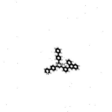 C1=C(c2ccc(-c3cccnc3)cc2)N=C(c2ccc(-c3ccccc3)cc2)NC1c1cccc(-c2cc3ccccc3c3ccccc23)c1